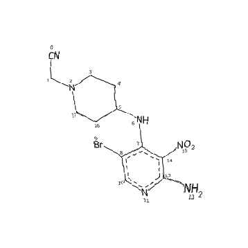 N#CCN1CCC(Nc2c(Br)cnc(N)c2[N+](=O)[O-])CC1